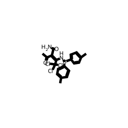 CC(=O)/C(C(N)=O)=C(/NB(c1ccc(C)cc1)c1ccc(C)cc1)C(Cl)(Cl)Cl